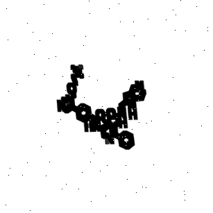 C[Si](C)(C)CCOCn1cncc1-c1ccc(C(=O)Nc2cnc(-c3ccccc3)n(CC(=O)NCc3cc4cnccc4[nH]3)c2=O)cc1